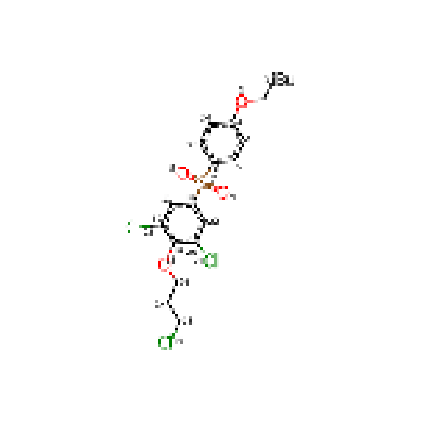 CCC(C)COc1ccc(S(=O)(=O)c2cc(Cl)c(OCCCCl)c(Cl)c2)cc1